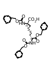 O=C(N[C@H](CSSC[C@@H](NC(=O)OCc1ccccc1)C(=O)OCc1ccccc1)C(=O)O)OCc1ccccc1